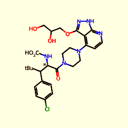 CC(C)(C)C(c1ccc(Cl)cc1)[C@@H](NC(=O)O)C(=O)N1CCN(c2ccnc3[nH]nc(OCC(O)CO)c23)CC1